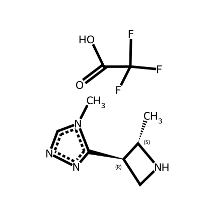 C[C@@H]1NC[C@H]1c1nncn1C.O=C(O)C(F)(F)F